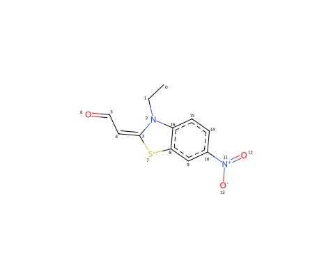 CCN1C(=CC=O)Sc2cc([N+](=O)[O-])ccc21